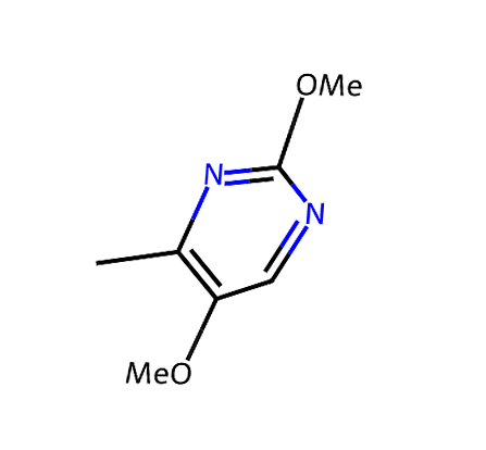 COc1ncc(OC)c(C)n1